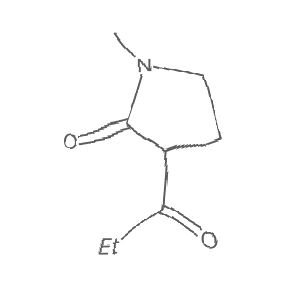 CCC(=O)C1CCN(C)C1=O